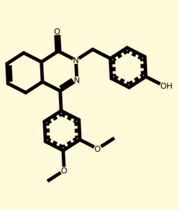 COc1ccc(C2=NN(Cc3ccc(O)cc3)C(=O)C3CC=CCC23)cc1OC